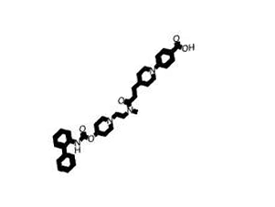 CN(CCN1CCC(OC(=O)Nc2ccccc2-c2ccccc2)CC1)C(=O)CCC1CCN(c2ccc(C(=O)O)cc2)CC1